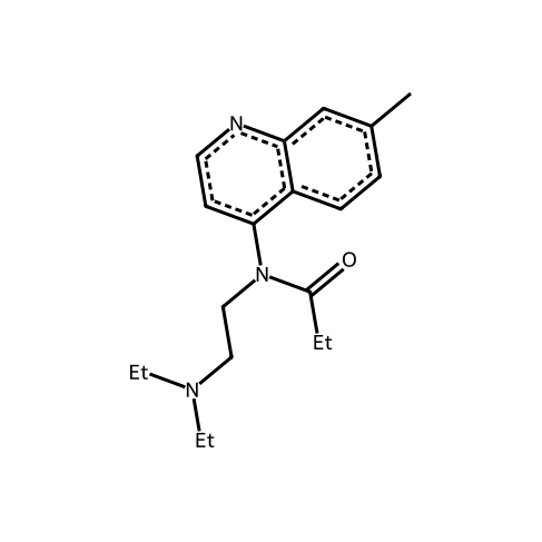 CCC(=O)N(CCN(CC)CC)c1ccnc2cc(C)ccc12